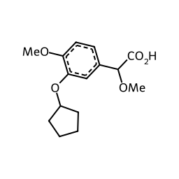 COc1ccc(C(OC)C(=O)O)cc1OC1CCCC1